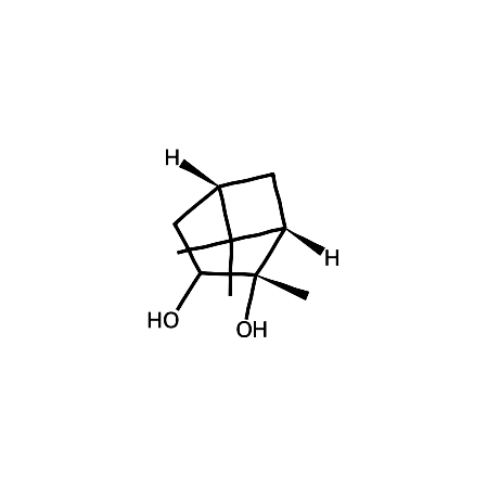 CC1(C)[C@@H]2CC(O)[C@@](C)(O)[C@H]1C2